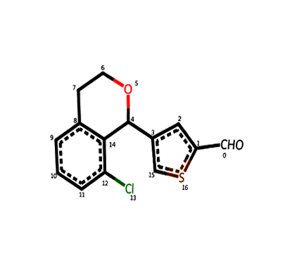 O=Cc1cc(C2OCCc3cccc(Cl)c32)cs1